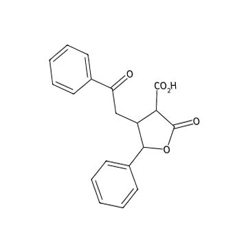 O=C(CC1C(C(=O)O)C(=O)OC1c1ccccc1)c1ccccc1